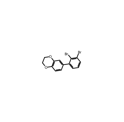 Brc1cccc(-c2ccc3c(c2)OCCO3)c1Br